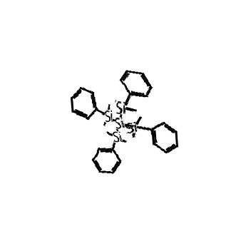 C[Si](C)(c1ccccc1)[Si]([Si](C)(C)c1ccccc1)([Si](C)(C)c1ccccc1)[Si](C)(C)c1ccccc1